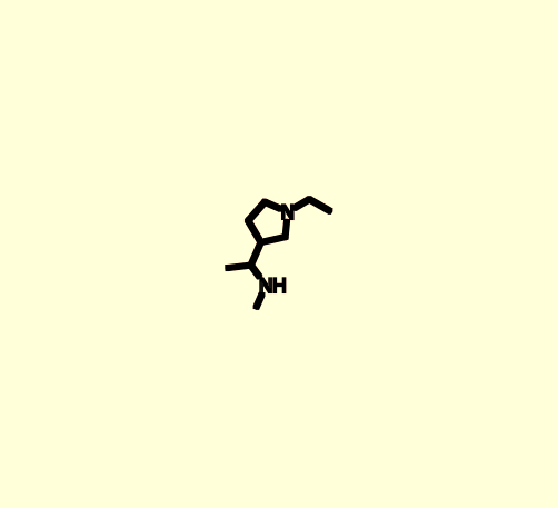 CCN1CCC(C(C)NC)C1